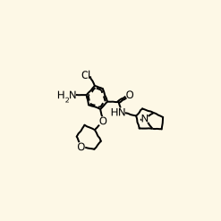 CN1C2CCC1CC(NC(=O)c1cc(Cl)c(N)cc1OC1CCOCC1)C2